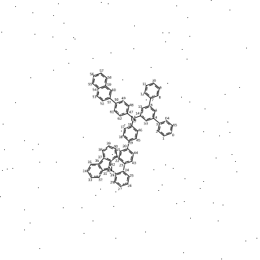 c1ccc(-c2cc(-c3ccccc3)cc(N(c3ccc(-c4ccc(-c5ccccc5-n5c6ccccc6c6ccccc65)cc4)cc3)c3ccc(-c4ccc5ccccc5c4)cc3)c2)cc1